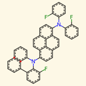 Fc1ccccc1N(c1ccccc1F)c1ccc2ccc3c(N(c4ccccc4)c4c(F)cccc4-c4ccccc4)ccc4ccc1c2c43